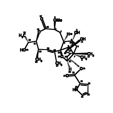 CO[C@H]1C[C@H]2[C@H](O)C[C@]3(C)[C@H]4[C@H](O)[C@@H](C)[C@@H](OC(=O)c5ccc[nH]5)[C@@H]3O[C@]42/C(C)=C/[C@@H](C)[C@@H]([C@@H](C)O)OC1=O